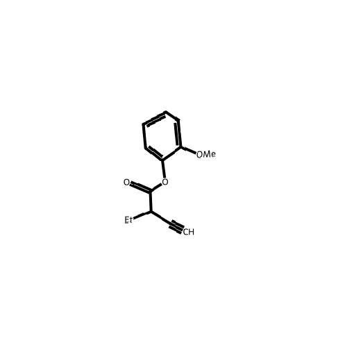 C#CC(CC)C(=O)Oc1ccccc1OC